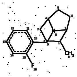 CC1CCC2CCC1N2Cc1ccccc1F